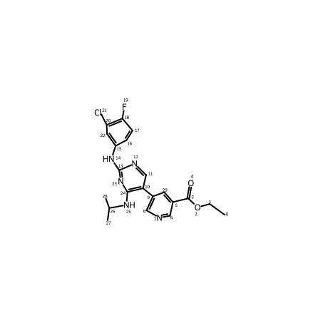 CCOC(=O)c1cncc(-c2cnc(Nc3ccc(F)c(Cl)c3)nc2NC(C)C)c1